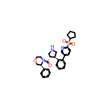 O=C([C@@H]1CNC[C@H]1c1ccccc1-c1ccc(S(=O)(=O)C2CCCC2)nc1)N1CCOC[C@@H]1c1ccccc1